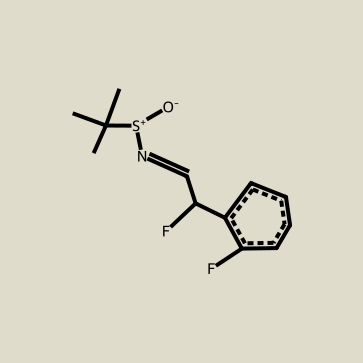 CC(C)(C)[S+]([O-])N=CC(F)c1ccccc1F